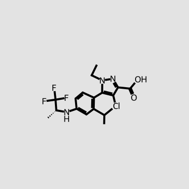 CCn1nc(C(=O)O)c(Cl)c1-c1ccc(N[C@H](C)C(F)(F)F)cc1C(C)C